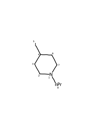 CCCN1CCC(I)CC1